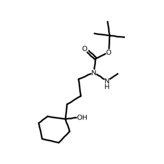 CNN(CCCC1(O)CCCCC1)C(=O)OC(C)(C)C